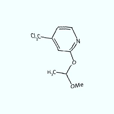 COC(C)Oc1cc(C(Cl)(Cl)Cl)ccn1